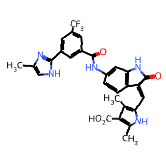 Cc1c[nH]c(-c2cc(C(=O)Nc3ccc4c(c3)NC(=O)C4=Cc3[nH]c(C)c(C(=O)O)c3C)cc(C(F)(F)F)c2)n1